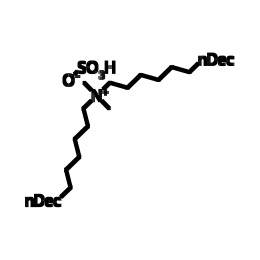 CCCCCCCCCCCCCCCC[N+](C)(C)CCCCCCCCCCCCCCCC.O=S(=O)([O-])O